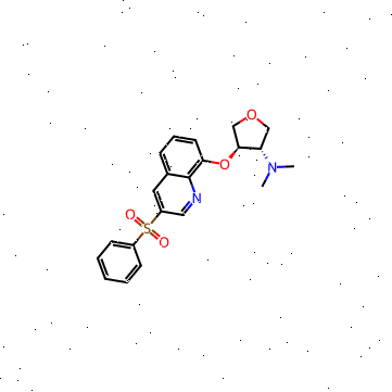 CN(C)[C@H]1COC[C@@H]1Oc1cccc2cc(S(=O)(=O)c3ccccc3)cnc12